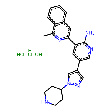 Cc1nc(-c2cc(-c3cnn(C4CCNCC4)c3)cnc2N)cc2ccccc12.Cl.Cl.Cl